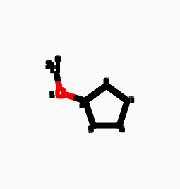 [2H]OC1CCCC1